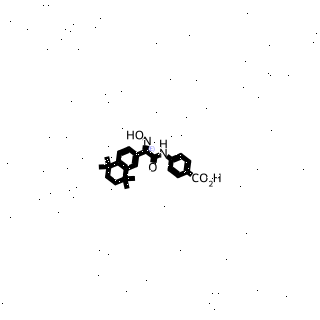 CC1(C)CCC(C)(C)c2cc(/C(=N\O)C(=O)Nc3ccc(C(=O)O)cc3)ccc21